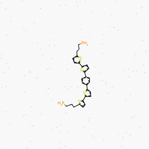 PCCCc1ccc(-c2ccc(-c3ccc(-c4ccc(-c5ccc(CCCP)s5)s4)cc3)s2)s1